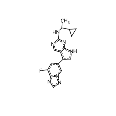 CC(Nc1ncc2c(-c3cc(F)c4ncnn4c3)c[nH]c2n1)C1CC1